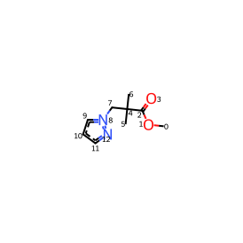 COC(=O)C(C)(C)Cn1cccn1